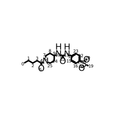 CCCCC(=O)N1CCC(NC(=O)Nc2ccc(S(C)(=O)=O)cc2)CC1